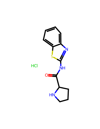 Cl.O=C(Nc1nc2ccccc2s1)C1CCCN1